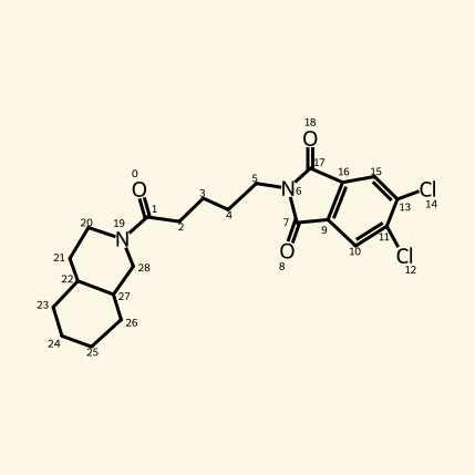 O=C(CCCCN1C(=O)c2cc(Cl)c(Cl)cc2C1=O)N1CCC2CCCCC2C1